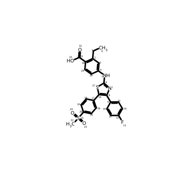 CCc1cc(Nc2nc(-c3ccc(F)cc3)c(-c3ccc(S(C)(=O)=O)cc3)s2)ccc1C(=O)O